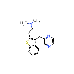 CN(C)CCc1sc2ccccc2c1Cc1cnccn1